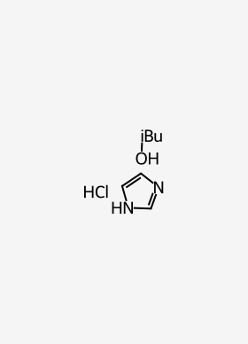 CCC(C)O.Cl.c1c[nH]cn1